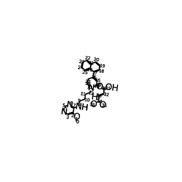 COc1cncnc1NCCCCN1CC=C(c2cccc3ccccc23)CC1.O=C(O)/C=C/C(=O)O